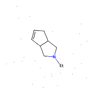 CCN1CC2C=CCC2C1